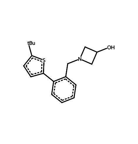 CC(C)(C)c1ccc(-c2ccccc2CN2CC(O)C2)s1